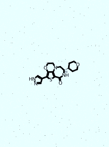 O=C1N[C@@H](C2CCOCC2)CN2CCOc3c(-c4cn[nH]c4)sc1c32